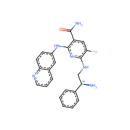 NC(=O)c1cc(F)c(NC[C@@H](N)c2ccccc2)nc1Nc1ccc2ncccc2c1